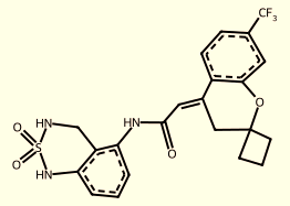 O=C(C=C1CC2(CCC2)Oc2cc(C(F)(F)F)ccc21)Nc1cccc2c1CNS(=O)(=O)N2